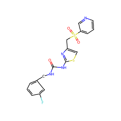 O=C(NCc1cccc(F)c1)Nc1nc(CS(=O)(=O)c2cccnc2)cs1